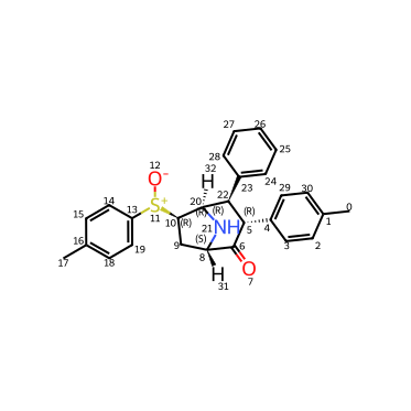 Cc1ccc([C@@H]2C(=O)[C@@H]3C[C@@H]([S+]([O-])c4ccc(C)cc4)[C@H](N3)[C@H]2c2ccccc2)cc1